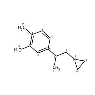 Cc1ccc(C(C)CN2CC2)cc1C